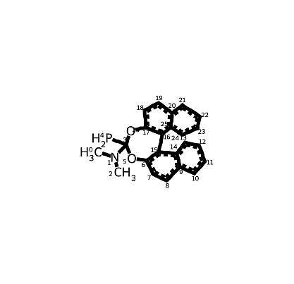 CN(C)C1(P)Oc2ccc3ccccc3c2-c2c(ccc3ccccc23)O1